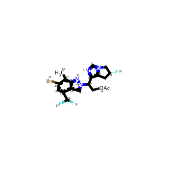 CC(=O)OCC(c1ncn2c1C[C@@H](F)C2)n1cc2c(C(F)F)cc(Br)c(C)c2n1